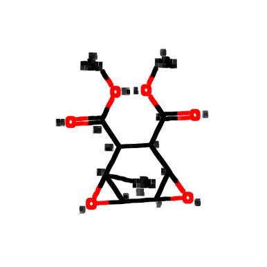 CCCCOC(=O)C1C2OC2C2OC2(CCCC)C1C(=O)OCCCC